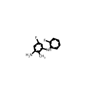 Cc1c(N)cc(F)cc1Nc1ccccc1F